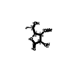 CO[C@@H]1[C@@H]([C@H](C)O)OC(=O)[C@@H]1O